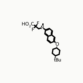 CN(CC(F)(F)C(=O)O)c1ccc2cc(O[C@H]3CC[C@H](C(C)(C)C)CC3)ccc2c1